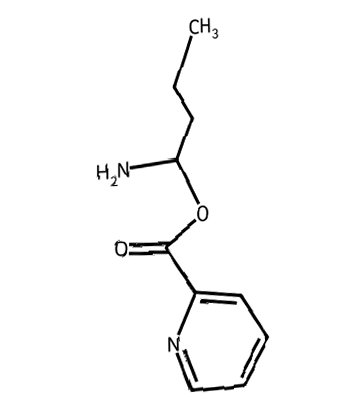 CCCC(N)OC(=O)c1ccccn1